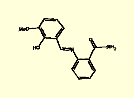 COc1cccc(/C=N/c2ccccc2C(N)=O)c1O